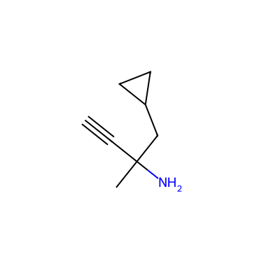 C#CC(C)(N)CC1CC1